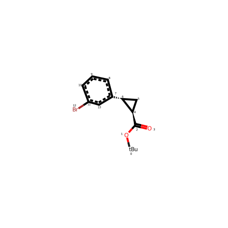 CC(C)(C)OC(=O)[C@@H]1C[C@H]1c1cccc(Br)c1